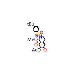 COC(=O)[C@]12CC(OC(C)=O)C(=O)C=C1CCN(S(=O)(=O)c1ccc(C(C)(C)C)cc1)C2